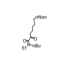 [CH2]CN(CCCC)C(=O)C(=O)CCCCCCCCCCCCCC